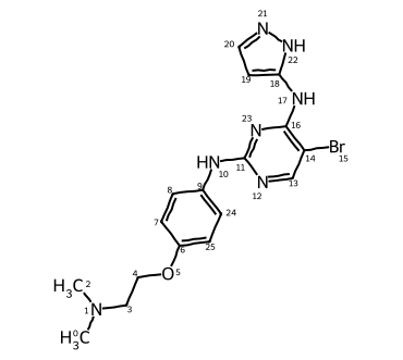 CN(C)CCOc1ccc(Nc2ncc(Br)c(Nc3ccn[nH]3)n2)cc1